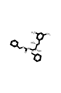 Cc1cc(C)cc(C[C@@H](O)[C@H](O)[C@H](Cc2ccccc2)NC(=O)OCc2ccccc2)c1